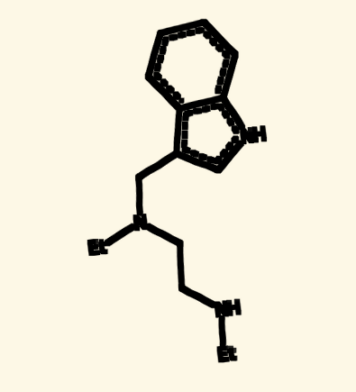 CCNCCN(CC)Cc1c[nH]c2ccccc12